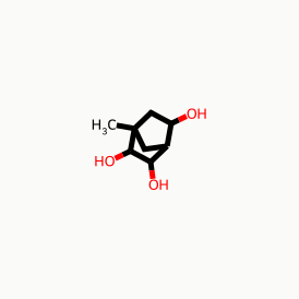 CC12CC(O)C(C1)C(O)C2O